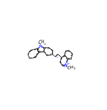 Cn1c2ccccc2c2cc(/C=C/c3cc[n+](C)c4ccccc34)ccc21